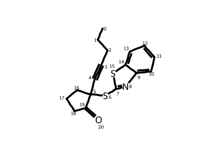 CCCC#CC1(Sc2nc3ccccc3s2)CCCC1=O